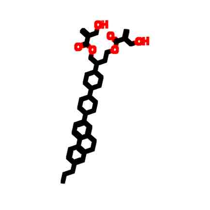 C=C(CO)C(=O)OCCC(COC(=O)C(=C)CO)C1CCC(C2CCC(c3ccc4c(c3)CCc3cc(CCC)ccc3-4)CC2)CC1